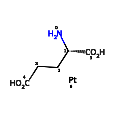 N[C@@H](CCC(=O)O)C(=O)O.[Pt]